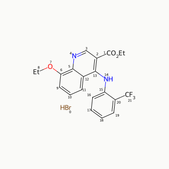 Br.CCOC(=O)c1cnc2c(OCC)cccc2c1Nc1ccccc1C(F)(F)F